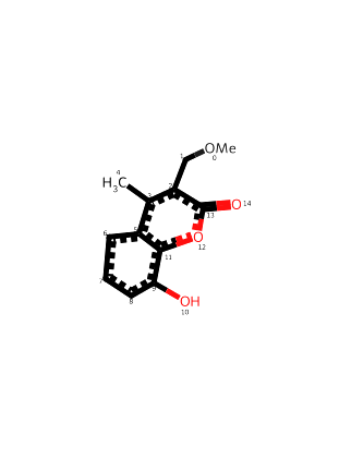 COCc1c(C)c2cccc(O)c2oc1=O